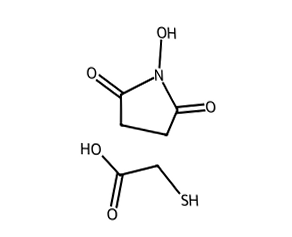 O=C(O)CS.O=C1CCC(=O)N1O